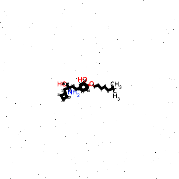 CC(C)CCCCCOc1ccc(CCC(N)(CO)CC2CCC2)cc1O